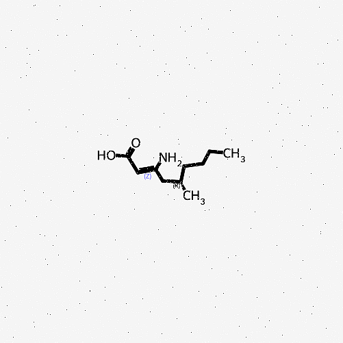 CCCC[C@@H](C)C/C(N)=C/C(=O)O